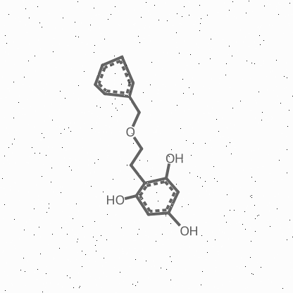 Oc1cc(O)c([CH]COCc2ccccc2)c(O)c1